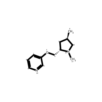 C[C@@H]1C[C@@H](COc2cccnc2)N(C)C1